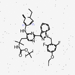 C=C/C=C(\C=C/C(C)CC)Nc1nc(-c2nn(Cc3c(F)cc(OCI)cc3F)c3ccccc23)ncc1CC(C)(C)NC(=O)OC(C)(I)I